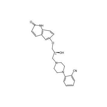 N#Cc1ccccc1N1CCN(C[C@H](O)COc2ccc3[nH]c(=O)ccc3c2)CC1